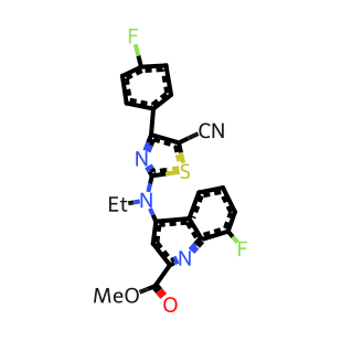 CCN(c1nc(-c2ccc(F)cc2)c(C#N)s1)c1cc(C(=O)OC)nc2c(F)cccc12